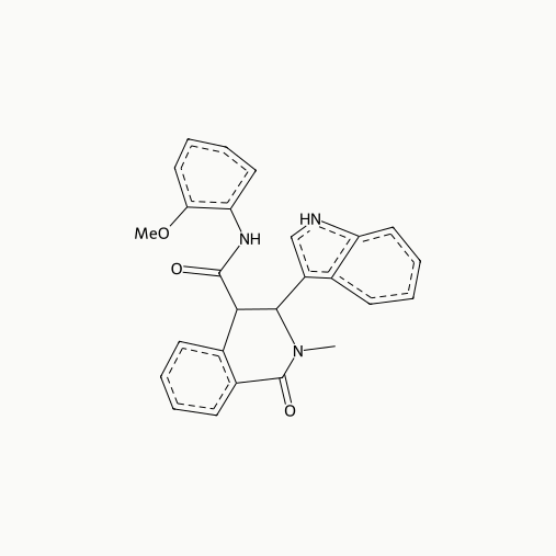 COc1ccccc1NC(=O)C1c2ccccc2C(=O)N(C)C1c1c[nH]c2ccccc12